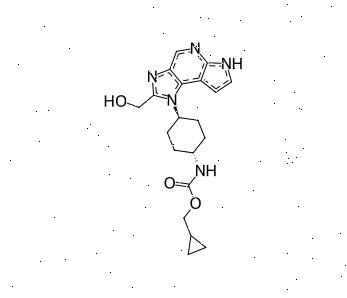 O=C(N[C@H]1CC[C@H](n2c(CO)nc3cnc4[nH]ccc4c32)CC1)OCC1CC1